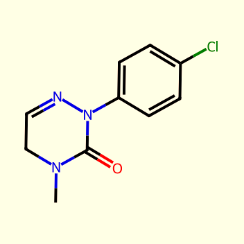 CN1CC=NN(c2ccc(Cl)cc2)C1=O